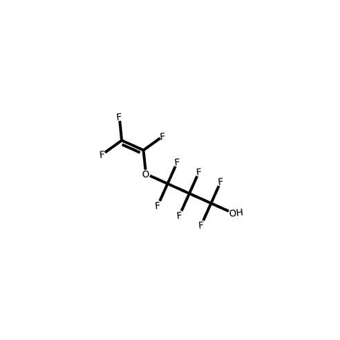 OC(F)(F)C(F)(F)C(F)(F)OC(F)=C(F)F